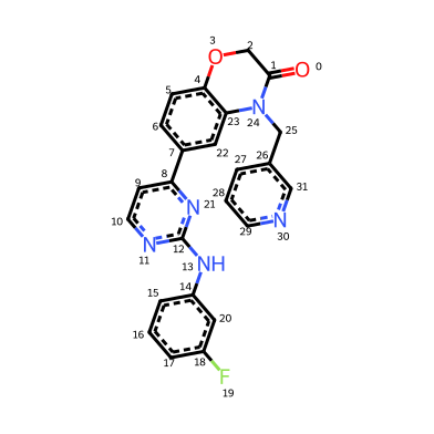 O=C1COc2ccc(-c3ccnc(Nc4cccc(F)c4)n3)cc2N1Cc1cccnc1